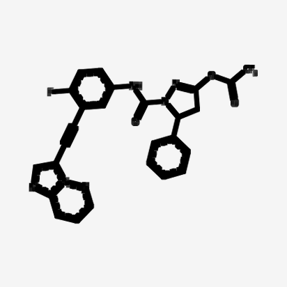 O=C(Nc1ccc(F)c(C#Cc2cnc3cccnn23)c1)N1N=C(OC(=O)C(F)(F)F)CC1c1ccccc1